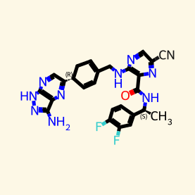 C[C@H](NC(=O)c1nc(C#N)cnc1NCC1=CC[C@@H](c2cnc3[nH]nc(N)c3n2)C=C1)c1ccc(F)c(F)c1